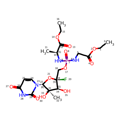 CCOC(=O)CNP(=O)(N[C@@H](C)C(=O)OCC)OC[C@@]1(F)O[C@@H](n2ccc(=O)[nH]c2=O)[C@](C)(O)[C@@H]1O